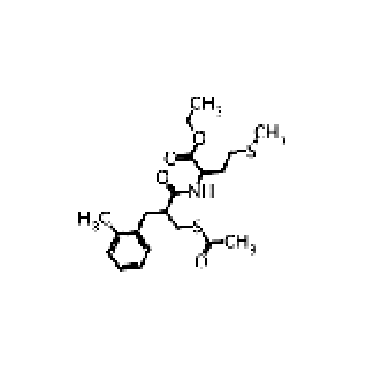 CCOC(=O)C(CCSC)NC(=O)C(CSC(C)=O)Cc1ccccc1C